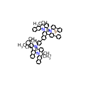 CC1(C)CCC(C)(C)c2cc3c(cc21)-c1cc2ccccc2c2c1B(c1cccc4c1N2c1cc2ccccc2cc1C4(C)C)N3c1ccc(-c2ccc3c4c5c(cc3c2)N2c3cc6ccccc6cc3C(C)(C)c3cccc(c32)B5N(c2cccc3c2sc2ccccc23)c2cc(-c3ccccc3)ccc2-4)cc1